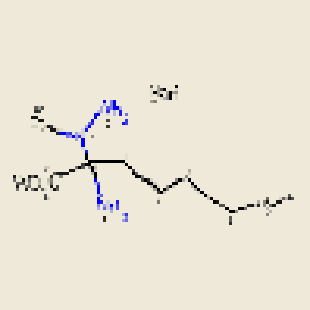 CCCCCCCCCCCCC(N)(C(=O)O)N(N)CC.[NaH]